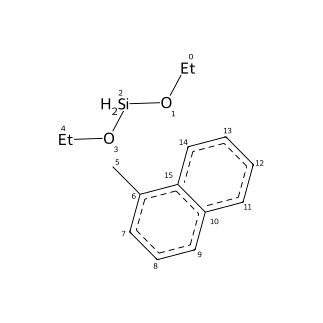 CCO[SiH2]OCC.Cc1cccc2ccccc12